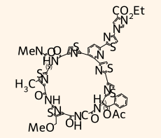 CCOC(=O)c1cn(-c2csc(-c3ccc4c(n3)-c3csc(n3)-c3csc(n3)[C@H]([C@@H](OC(C)=O)c3ccccc3)NC(=O)CNC(=O)c3nc(sc3COC)NC(=O)c3nc(sc3C)[C@H](CC(=O)NC)NC(=O)c3csc-4n3)n2)cn1